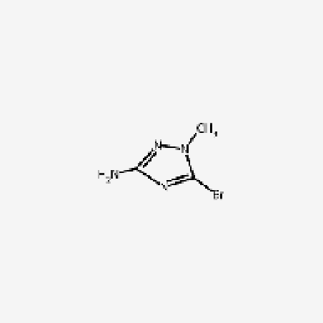 Cn1nc(N)nc1Br